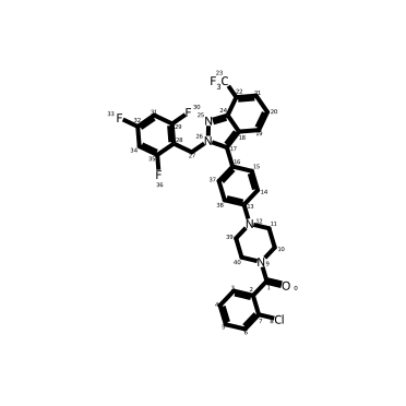 O=C(c1ccccc1Cl)N1CCN(c2ccc(-c3c4cccc(C(F)(F)F)c4nn3Cc3c(F)cc(F)cc3F)cc2)CC1